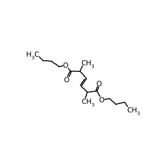 CCCCOC(=O)C(C)/C=C/C(C)C(=O)OCCCC